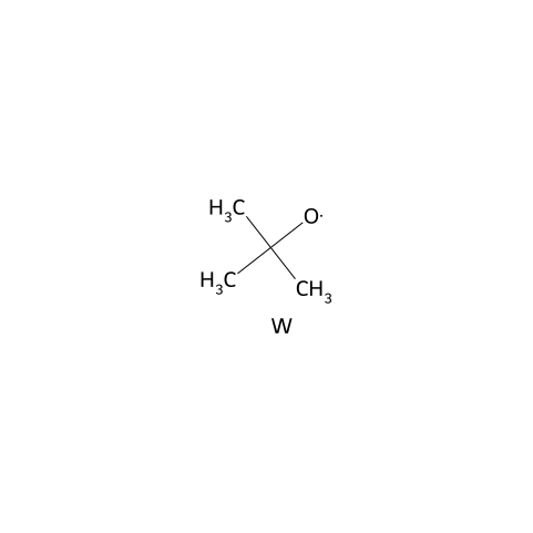 CC(C)(C)[O].[W]